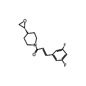 O=C(/C=C/c1cc(F)cc(F)c1)N1CCC([C@H]2CO2)CC1